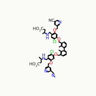 C/N=C/c1cncc(COc2cc(OCc3cccc(-c4cccc(COc5cc(OCc6cncc(C#N)c6)c(CNC(C)CC(=O)O)cc5Cl)c4C)c3C)c(Cl)cc2CNC(C)CC(=O)O)c1